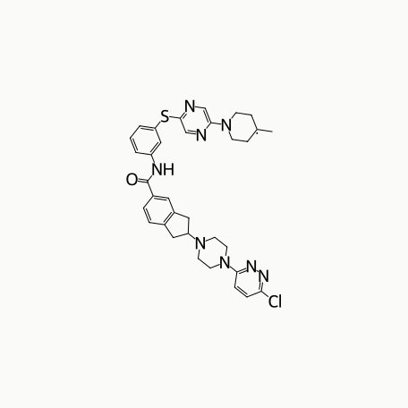 C[C]1CCN(c2cnc(Sc3cccc(NC(=O)c4ccc5c(c4)CC(N4CCN(c6ccc(Cl)nn6)CC4)C5)c3)cn2)CC1